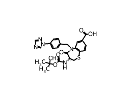 CC(C)(C)OC(=O)N[C@H]1CSc2ccc(C(=O)O)cc2N(Cc2ccc(-n3cncn3)cc2)C1=O